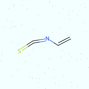 C=CN=C=S